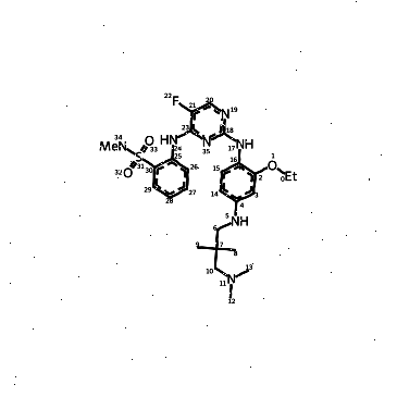 CCOc1cc(NCC(C)(C)CN(C)C)ccc1Nc1ncc(F)c(Nc2ccccc2S(=O)(=O)NC)n1